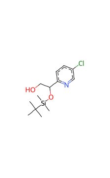 CC(C)(C)[Si](C)(C)OC(CO)c1ccc(Cl)cn1